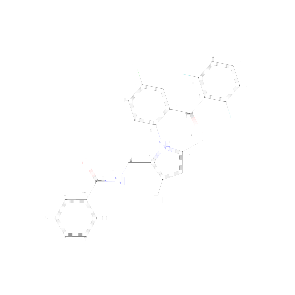 CCc1cc(C)n(-c2ccc(Cl)cc2C(=O)c2c(F)cccc2F)c1CNC(=O)c1ccccc1